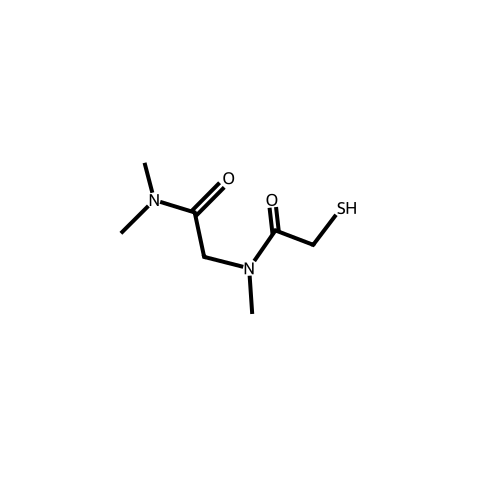 CN(C)C(=O)CN(C)C(=O)CS